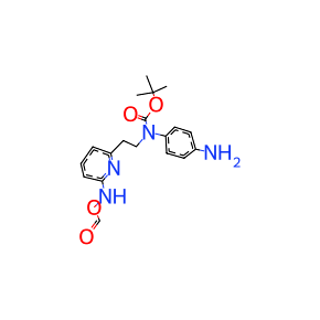 CC(C)(C)OC(=O)N(CCc1cccc(NOC=O)n1)c1ccc(N)cc1